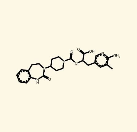 Cc1cc(CC(OC(=O)N2CCC(N3CCc4ccccc4NC3=O)CC2)C(=O)O)cnc1N